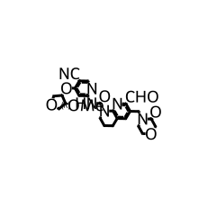 CO[C@@H]1COCC1Oc1cc(NC(=O)N2CCCc3cc(CN4CCOCC4=O)c(C=O)nc32)ncc1C#N